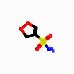 NS(=O)(=O)C1=COOC1